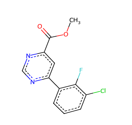 COC(=O)c1cc(-c2cccc(Cl)c2F)ncn1